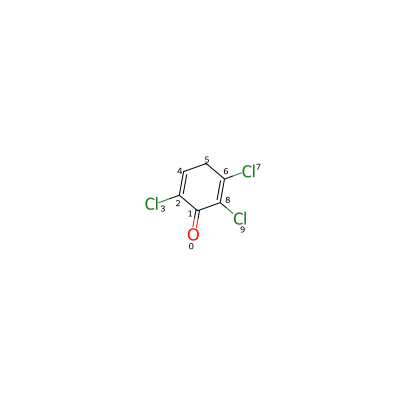 O=C1C(Cl)=CCC(Cl)=C1Cl